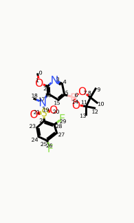 COc1ncc(B2OC(C)(C)C(C)(C)O2)cc1N(C)S(=O)(=O)c1ccc(F)cc1F